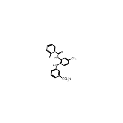 O=C(O)c1cccc(Nc2ccc(C(F)(F)F)cc2NC(=O)c2ccccc2F)c1